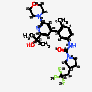 Cc1ccc(NC(=O)N2CC[C@@H](CC(F)(F)F)C2)cc1-c1cc(N2CCOCC2)nc(C(C)(C)O)c1